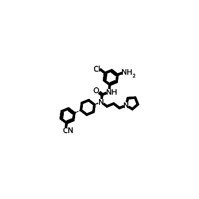 N#Cc1cccc([C@H]2CC[C@@H](N(CCCN3CCCC3)C(=O)Nc3cc(N)cc(Cl)c3)CC2)c1